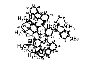 CC(C)(C)c1ccc2c(c1)C1(C)CCCCC1(C)N2c1cc2c3c(c1)N(c1cccc4sc5ccccc5c14)c1cc4c(cc1B3c1cc3c(cc1N2c1cccc2c1oc1ccccc12)C(C)(C)CCC3(C)C)C(C)(C)CCC4(C)C